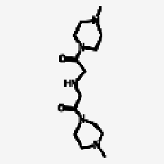 CN1CCN(C(=O)CNCC(=O)N2CCN(C)CC2)CC1